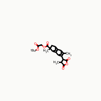 CC1C(=O)OC(=O)C1C1C(C)C2CC1C1C2C2CC1C(C)(C(=O)OCC(=O)OC(C)(C)C)C2